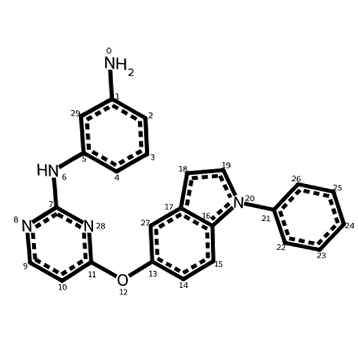 Nc1cccc(Nc2nccc(Oc3ccc4c(ccn4-c4ccccc4)c3)n2)c1